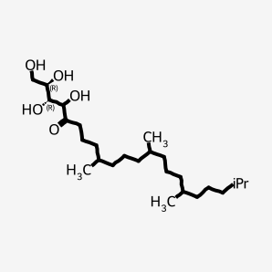 CC(C)CCCC(C)CCCC(C)CCCC(C)CCCC(=O)C(O)[C@H](O)[C@H](O)CO